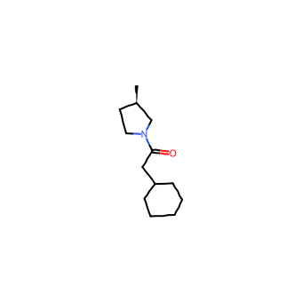 C[C@@H]1CCN(C(=O)CC2CCCCC2)C1